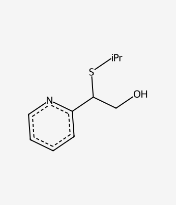 CC(C)SC(CO)c1ccccn1